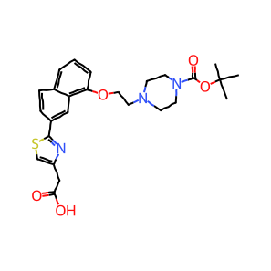 CC(C)(C)OC(=O)N1CCN(CCOc2cccc3ccc(-c4nc(CC(=O)O)cs4)cc23)CC1